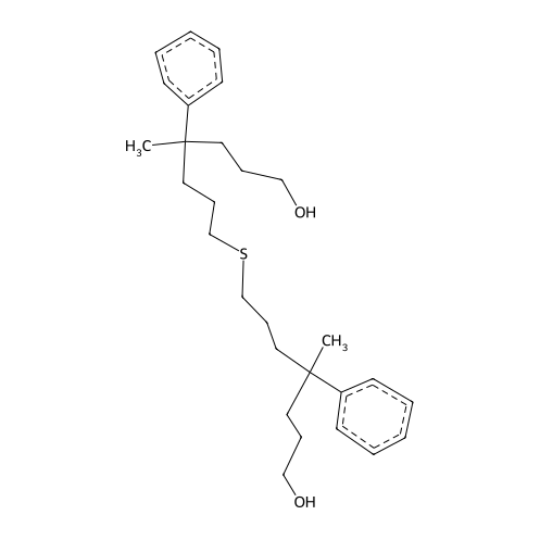 CC(CCCO)(CCCSCCCC(C)(CCCO)c1ccccc1)c1ccccc1